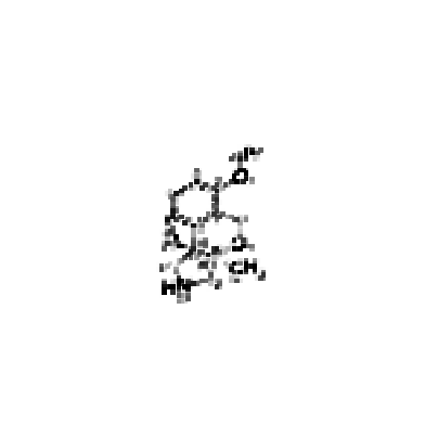 CC(C)Oc1cccc2c1CO[C@@]1(C)CNC[C@H]21